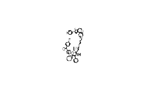 O=C(CNCCCCCN1CCC2(CC1)OCCc1sc(-c3ccncc3)cc12)NC(C(=O)N1CCCCCC1c1nc(C(=O)c2ccc(F)cc2)cs1)C1CCCCC1